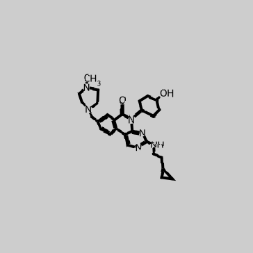 CN1CCN(Cc2ccc3c(c2)c(=O)n(C2CCC(O)CC2)c2nc(NCCC4CC4)ncc32)CC1